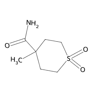 CC1(C(N)=O)CCS(=O)(=O)CC1